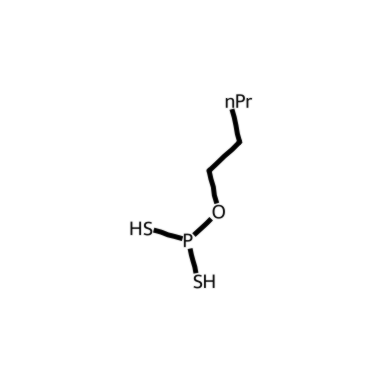 CCCCCOP(S)S